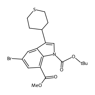 COC(=O)c1cc(Br)cc2c(C3CCSCC3)cn(C(=O)OC(C)(C)C)c12